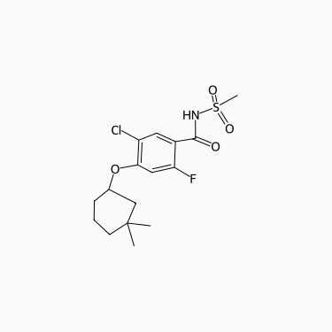 CC1(C)CCCC(Oc2cc(F)c(C(=O)NS(C)(=O)=O)cc2Cl)C1